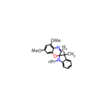 CCCN1c2ccccc2C(C)(C)C12C=Nc1c(OC)cc(OC)cc1O2